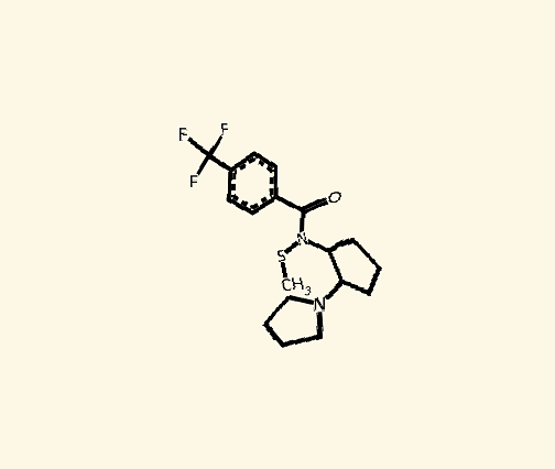 CSN(C(=O)c1ccc(C(F)(F)F)cc1)C1CCCC1N1CCCC1